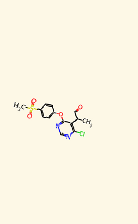 CC(C=O)c1c(Cl)ncnc1Oc1ccc(S(C)(=O)=O)cc1